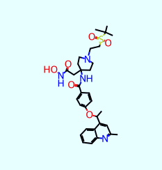 Cc1cc(C(C)Oc2ccc(C(=O)NC3(CC(=O)NO)CCN(CCS(=O)(=O)C(C)(C)C)CC3)cc2)c2ccccc2n1